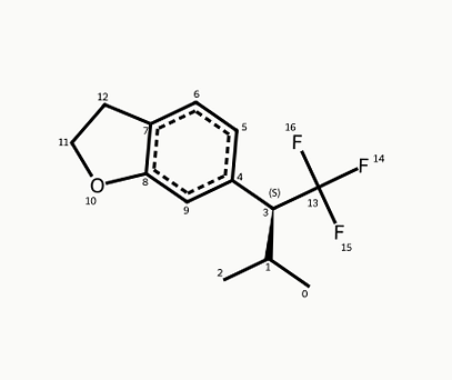 CC(C)[C@@H](c1ccc2c(c1)OCC2)C(F)(F)F